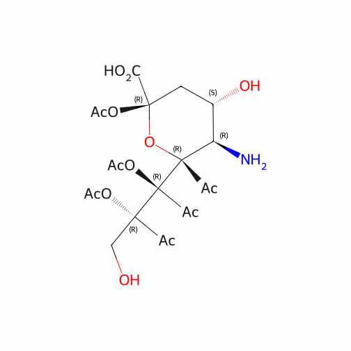 CC(=O)O[C@@]1(C(=O)O)C[C@H](O)[C@@H](N)[C@](C(C)=O)([C@](OC(C)=O)(C(C)=O)[C@@](CO)(OC(C)=O)C(C)=O)O1